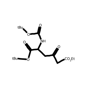 CCOC(=O)CC(=O)CC(NC(=O)OC(C)(C)C)C(=O)OC(C)(C)C